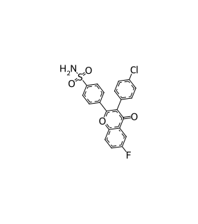 NS(=O)(=O)c1ccc(-c2oc3ccc(F)cc3c(=O)c2-c2ccc(Cl)cc2)cc1